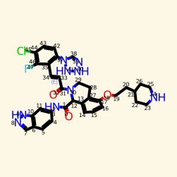 O=C(Nc1ccc2cn[nH]c2c1)C1c2cccc(OCCC3CCNCC3)c2CCN1C(=O)/C=C/c1c(N2C=NNN2)ccc(Cl)c1F